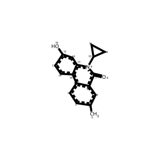 Cc1ccc2c(c1)c(=O)n(C1CC1)c1cc(O)ccc21